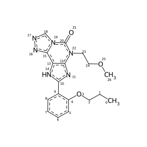 CCCOc1ccccc1-c1nc2c([nH]1)c1nncn1c(=O)n2CCOC